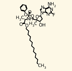 CCCCCCCCCCCCCCOC(=O)[C@H](C)NP(=O)(OC[C@@]1(C)O[C@@H](n2cnc3c(N)nc(F)nc32)C[C@@H]1O)Oc1ccccc1